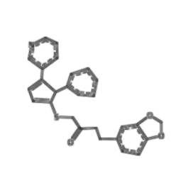 O=C(CCc1ccc2c(c1)OCO2)CSC1=CC=C(c2cccnc2)C1c1ccccc1